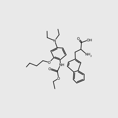 CCCCOc1cc(N(CC)CC)ccc1NC(=O)OCC.NC(Cc1ccc2ccccc2c1)C(=O)O